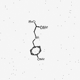 COc1ccc(CNCC(OC)OC)cc1